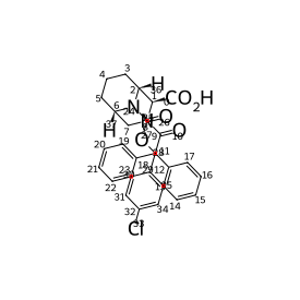 O=C(O)[C@@H]1[C@H]2CCC[C@@H](CN1C(=O)C(c1ccccc1)c1ccccc1)N2C(=O)OCc1ccc(Cl)cc1